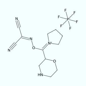 F[P-](F)(F)(F)(F)F.N#CC(C#N)=NOC(C1CNCCO1)=[N+]1CCCC1